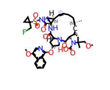 COCC(C)(C)N(C(=O)O)[C@@H]1C(=O)N2C[C@H](Oc3ncc(OC)c4ccccc34)C[C@H]2C(=O)N[C@]2(C(=O)NS(=O)(=O)C3(CF)CC3)C[C@H]2/C=C\CC[C@H](C)C[C@H]1C